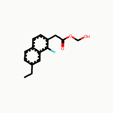 CCc1ccc2ccc(CC(=O)OCO)c(F)c2c1